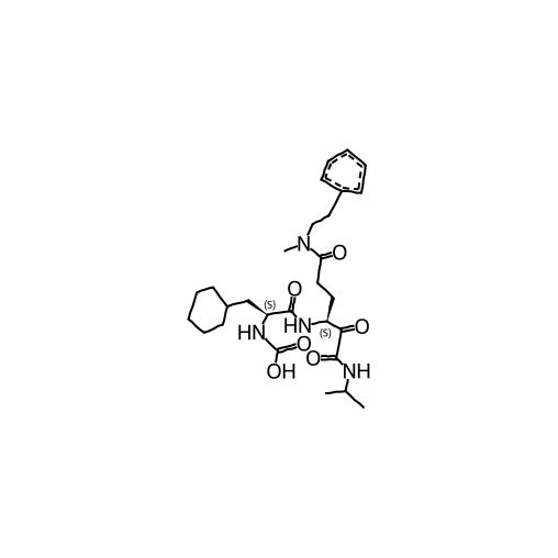 CC(C)NC(=O)C(=O)[C@H](CCC(=O)N(C)CCc1ccccc1)NC(=O)[C@H](CC1CCCCC1)NC(=O)O